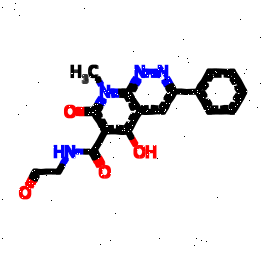 Cn1c(=O)c(C(=O)NCC=O)c(O)c2cc(-c3ccccc3)nnc21